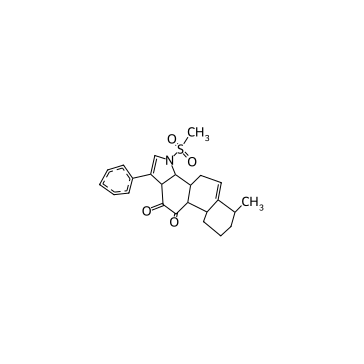 CC1CCCC2C1=CCC1C2C(=O)C(=O)C2C(c3ccccc3)=CN(S(C)(=O)=O)C21